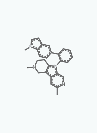 Cc1cc2c3c(n(-c4ccccc4-c4ccc5c(ccn5C)c4)c2cn1)CCN(C)C3